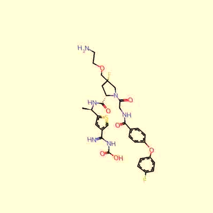 C[C@@H](NC(=O)[C@@H]1C[C@](F)(COCCN)CN1C(=O)CNC(=O)c1ccc(Oc2ccc(F)cc2)cc1)c1cc(C(=N)NC(=O)O)cs1